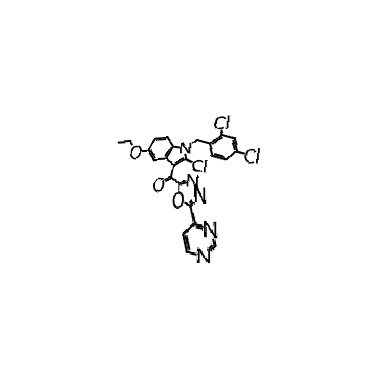 CCOc1ccc2c(c1)c(C(=O)c1nnc(-c3ccncn3)o1)c(Cl)n2Cc1ccc(Cl)cc1Cl